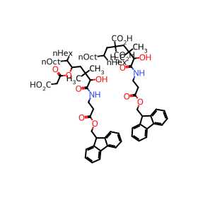 CCCCCCCCC(CCCCCC)C(CC(C)(C)C(O)C(=O)NCCC(=O)OCC1c2ccccc2-c2ccccc21)OC(=O)CC(=O)O.CCCCCCCCC(CCCCCC)CC(CC(C)(C)C(O)C(=O)NCCC(=O)OCC1c2ccccc2-c2ccccc21)(C(=O)O)C(=O)O